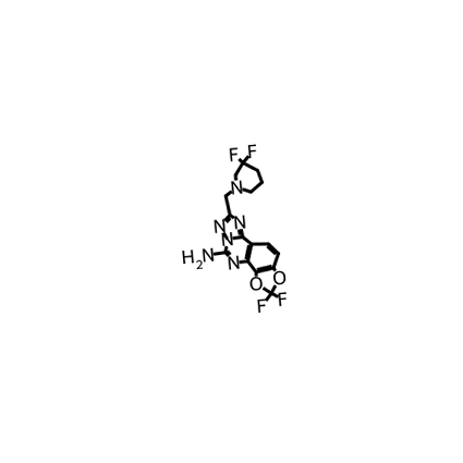 Nc1nc2c3c(ccc2c2nc(CN4CCCC(F)(F)C4)nn12)OC(F)(F)O3